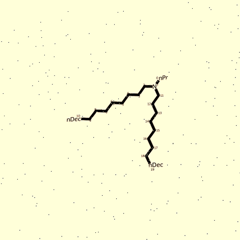 [CH2]CCN(CCCCCCCCCCCCCCCCCC)CCCCCCCCCCCCCCCCCC